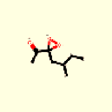 CCC(C)CC1(C(C)=O)OO1